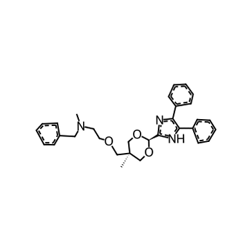 CN(CCOC[C@]1(C)CO[C@H](c2nc(-c3ccccc3)c(-c3ccccc3)[nH]2)OC1)Cc1ccccc1